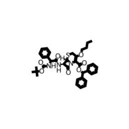 CCCCOC1=C(C(=O)OC(c2ccccc2)c2ccccc2)N2C(=O)[C@@H](NC(=O)C(NC(=O)OC(C)(C)C)c3ccccc3)[C@@H]2SC1